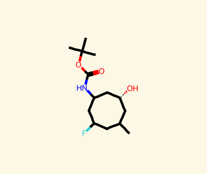 CC1CC(F)CC(NC(=O)OC(C)(C)C)C[C@H](O)C1